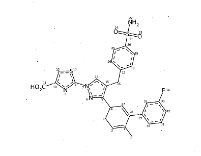 CC1=CCC(c2nn(-c3nc(C(=O)O)cs3)cc2Cc2ccc(S(N)(=O)=O)cc2)C=C1c1cccc(F)c1